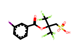 O=C(OC(CS(=O)(=O)O)(C(F)(F)F)C(F)(F)F)c1cccc(I)c1